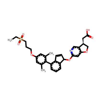 CCS(=O)(=O)CCCOc1cc(C)c(-c2cccc3c2C=CC3Oc2cc3c(cn2)[C@@H](CC(=O)O)CO3)c(C)c1